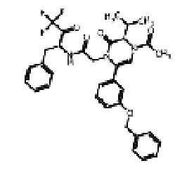 CC(=O)N1C=C(c2cccc(OCc3ccccc3)c2)N(CC(=O)N[C@@H](Cc2ccccc2)C(=O)C(F)(F)F)C(=O)[C@H]1C(C)C